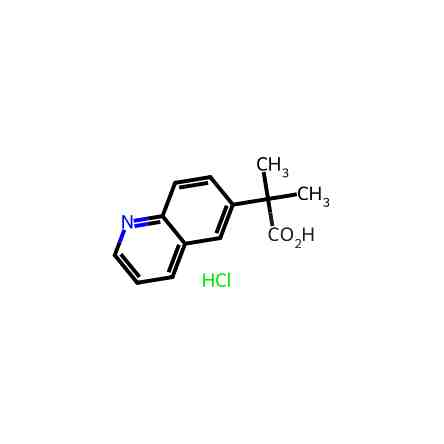 CC(C)(C(=O)O)c1ccc2ncccc2c1.Cl